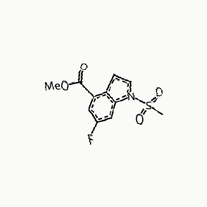 COC(=O)c1cc(F)cc2c1ccn2S(C)(=O)=O